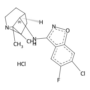 CC1(C)[C@H](Nc2noc3cc(Cl)c(F)cc23)C2CCN1CC2.Cl